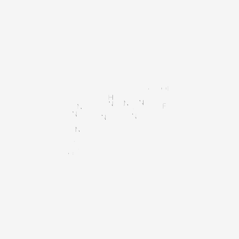 CCC(C)n1nc(N2CC3(COC3)C2)c2cnc(Nc3ccnc(N4CC(F)C(O)C(C)(C)C4)n3)cc21